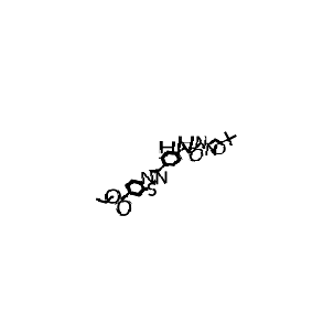 CCOC(=O)c1ccc2c(c1)sc1nc(-c3ccc(NC(=O)Nc4cc(C(C)(C)C)on4)cc3)cn12